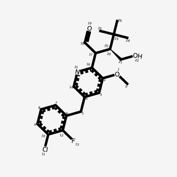 COc1cc(Cc2cccc(Cl)c2F)cnc1C(C=O)[C@H](CO)C(C)(C)C